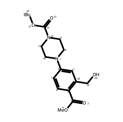 COC(=O)c1ccc(N2CCN(C(=O)OC(C)(C)C)CC2)cc1CO